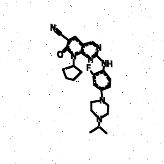 CC(C)N1CCN(c2ccc(Nc3ncc4cc(C#N)c(=O)n(C5CCCC5)c4n3)c(F)c2)CC1